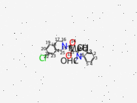 COc1ccccc1N(C=O)C(C)C(=O)C(=O)N1CCc2ccc(Cl)cc2C1